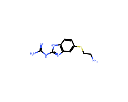 N=C(N)Nc1nc2cc(SCCN)ccc2[nH]1